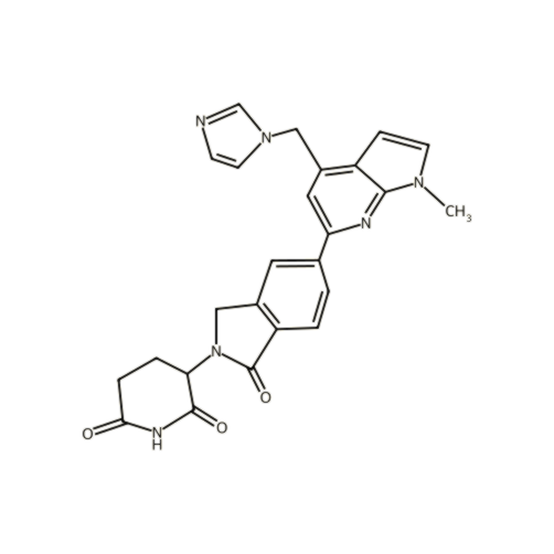 Cn1ccc2c(Cn3ccnc3)cc(-c3ccc4c(c3)CN(C3CCC(=O)NC3=O)C4=O)nc21